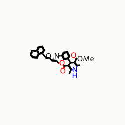 COC(=O)C1=C(C)NC(C)=C(C(=O)OCC=CC=Cc2cccc3ccccc23)C1c1cccc([N+](=O)[O-])c1